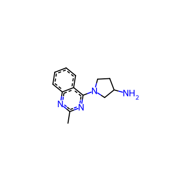 Cc1nc(N2CCC(N)C2)c2ccccc2n1